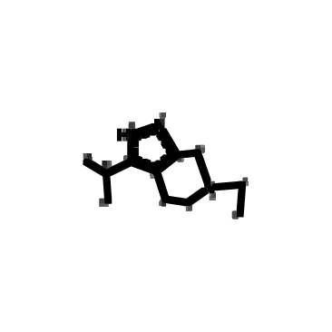 CCN1CCc2c(n[nH]c2C(C)C)C1